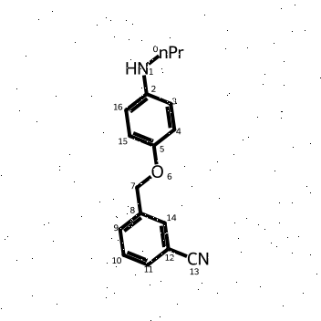 CCCNc1ccc(OCc2cccc(C#N)c2)cc1